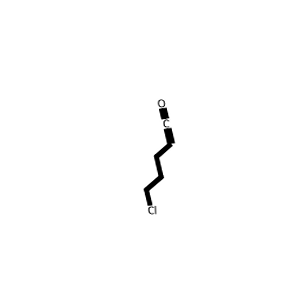 O=C=CCCCCl